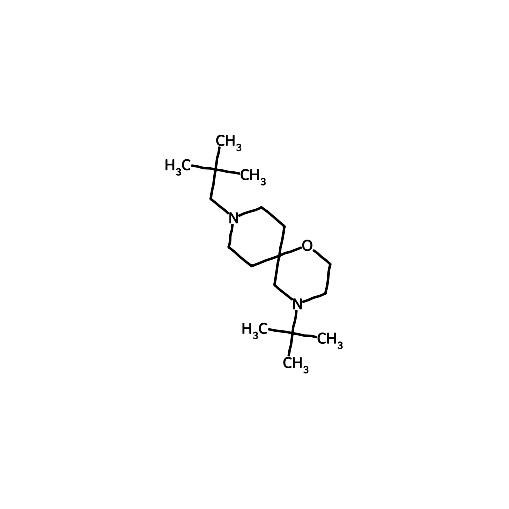 CC(C)(C)CN1CCC2(CC1)CN(C(C)(C)C)CCO2